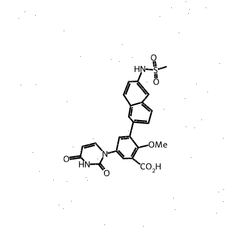 COc1c(C(=O)O)cc(-n2ccc(=O)[nH]c2=O)cc1-c1ccc2cc(NS(C)(=O)=O)ccc2c1